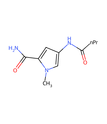 CCCC(=O)Nc1cc(C(N)=O)n(C)c1